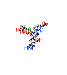 O=C(O)C(F)(F)F.O=C(O)C(F)(F)F.Oc1cc(-c2cn[nH]c2)ccc1-c1cnc(N2CCC(CNC3CCO3)C2)nn1